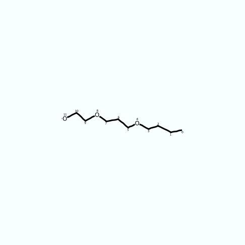 CCCCOCCCOCC[O]